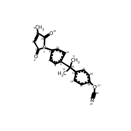 CC1=CC(=O)N(c2ccc(C(C)(C)c3ccc(OC#N)cc3)cc2)C1=O